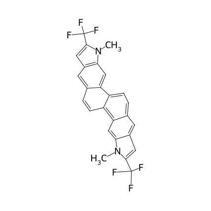 Cn1c(C(F)(F)F)cc2cc3ccc4c5cc6c(cc(C(F)(F)F)n6C)cc5ccc4c3cc21